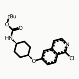 CC(C)(C)OC(=O)N[C@H]1CC[C@@H](Oc2ccc3c(Cl)nccc3c2)CC1